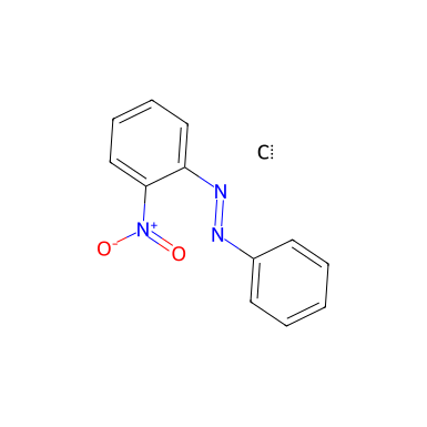 O=[N+]([O-])c1ccccc1N=Nc1ccccc1.[C]